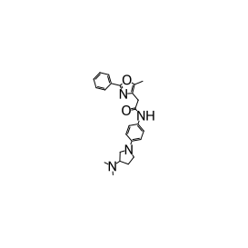 Cc1oc(-c2ccccc2)nc1CC(=O)Nc1ccc(N2CCC(N(C)C)C2)cc1